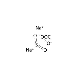 O=C([O-])[O-].O=S=O.[Na+].[Na+]